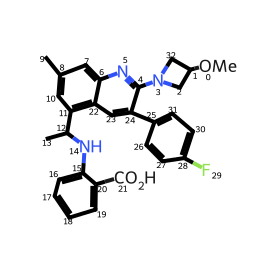 COC1CN(c2nc3cc(C)cc(C(C)Nc4ccccc4C(=O)O)c3cc2-c2ccc(F)cc2)C1